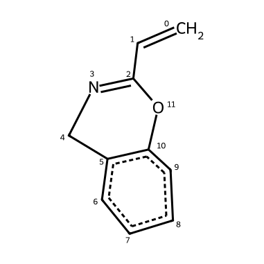 C=CC1=NCc2ccccc2O1